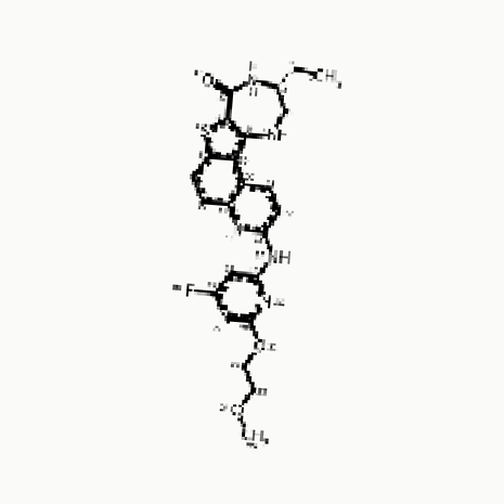 CC[C@@H]1CNc2c(sc3ccc4nc(Nc5cc(F)nc(OCCOC)n5)ccc4c23)C(=O)N1